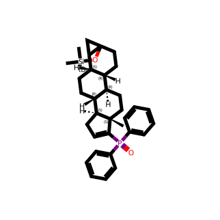 CC(C)(C)[Si](C)(C)OC12CC[C@@H]3[C@H]4CC[C@]5(C)C(P(=O)(c6ccccc6)c6ccccc6)=CC[C@H]5[C@@H]4CC[C@@H]3C1C2